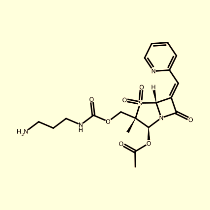 CC(=O)O[C@@H]1N2C(=O)/C(=C/c3ccccn3)[C@H]2S(=O)(=O)[C@@]1(C)COC(=O)NCCCN